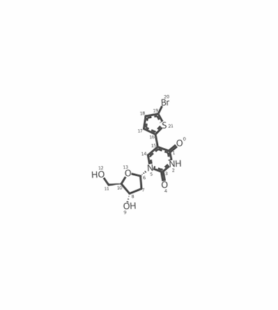 O=c1[nH]c(=O)n([C@@H]2C[C@H](O)[C@@H](CO)O2)cc1-c1ccc(Br)s1